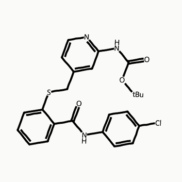 CC(C)(C)OC(=O)Nc1cc(CSc2ccccc2C(=O)Nc2ccc(Cl)cc2)ccn1